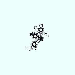 CC(C)(c1ccc(Cl)c(Cl)c1)c1cnc(SCc2ccc(N)c(Cl)c2)n1-c1ccc(F)cc1